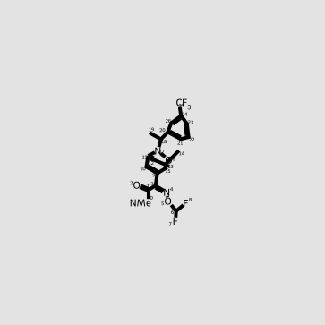 CNC(=O)C(=NOC(F)F)c1cc2cc(C)c1ON2C(C)c1cccc(C(F)(F)F)c1